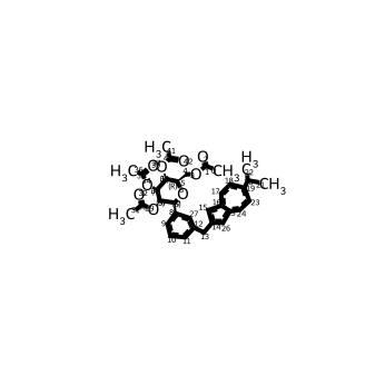 CC(=O)OC[C@H]1O[C@@H](c2cccc(Cc3cc4ccc(C(C)C)ccc-4c3)c2)[C@H](OC(C)=O)[C@@H](OC(C)=O)[C@@H]1OC(C)=O